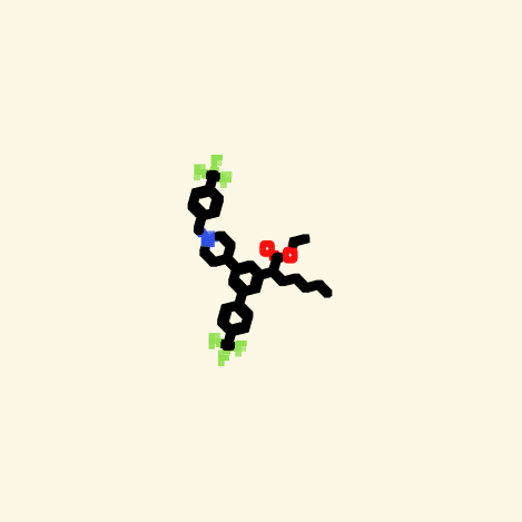 CCCCCC(C(=O)OCC)c1cc(-c2ccc(C(F)(F)F)cc2)cc(C2CCN(Cc3ccc(C(F)(F)F)cc3)CC2)c1